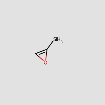 [SiH3]C1=CO1